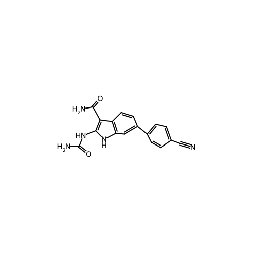 N#Cc1ccc(-c2ccc3c(C(N)=O)c(NC(N)=O)[nH]c3c2)cc1